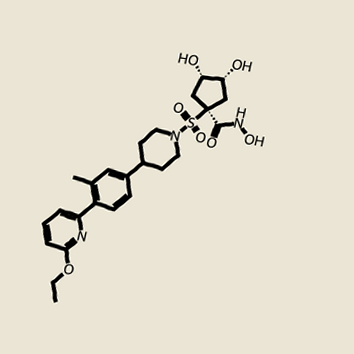 CCOc1cccc(-c2ccc(C3CCN(S(=O)(=O)[C@]4(C(=O)NO)C[C@@H](O)[C@@H](O)C4)CC3)cc2C)n1